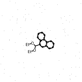 CCOC(OCC)c1cc2ccccc2c2ccccc12